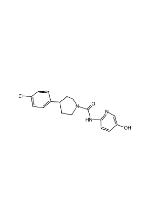 O=C(Nc1ccc(O)cn1)N1CCC(c2ccc(Cl)cc2)CC1